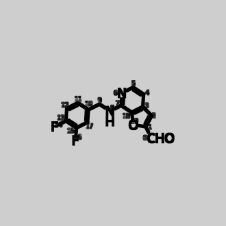 O=Cc1cc2ccnc(NCc3ccc(F)c(F)c3)c2o1